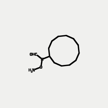 NON(C=O)C1CCCCCCCCCCC1